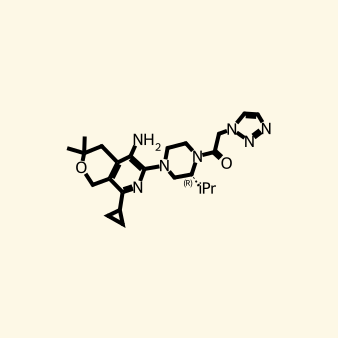 CC(C)[C@@H]1CN(c2nc(C3CC3)c3c(c2N)CC(C)(C)OC3)CCN1C(=O)Cn1ccnn1